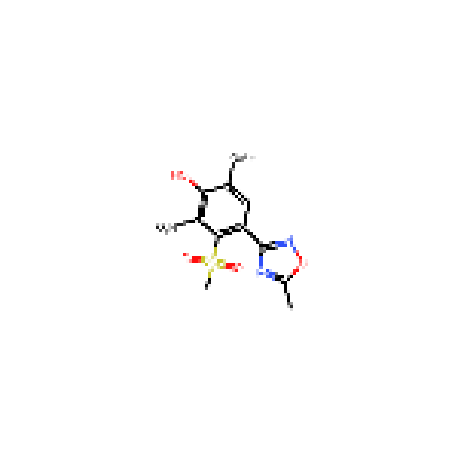 COc1cc(-c2noc(C)n2)c(S(C)(=O)=O)c([N+](=O)[O-])c1O